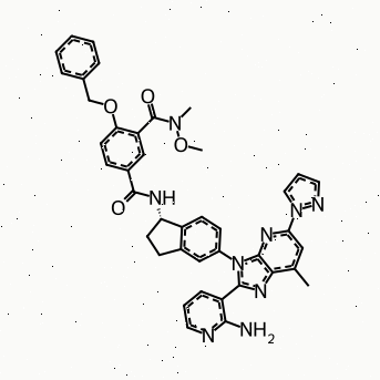 CON(C)C(=O)c1cc(C(=O)N[C@H]2CCc3cc(-n4c(-c5cccnc5N)nc5c(C)cc(-n6cccn6)nc54)ccc32)ccc1OCc1ccccc1